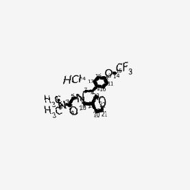 CN(C)C(=O)CN(CCc1ccc(OCC(F)(F)F)cc1)CC1CCOC1.Cl